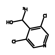 [2H]C(O)c1c(Cl)cncc1Cl